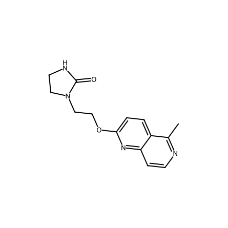 Cc1nccc2nc(OCCN3CCNC3=O)ccc12